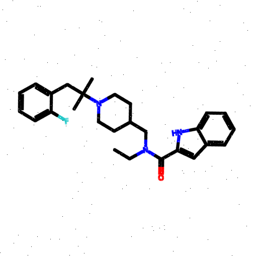 CCN(CC1CCN(C(C)(C)Cc2ccccc2F)CC1)C(=O)c1cc2ccccc2[nH]1